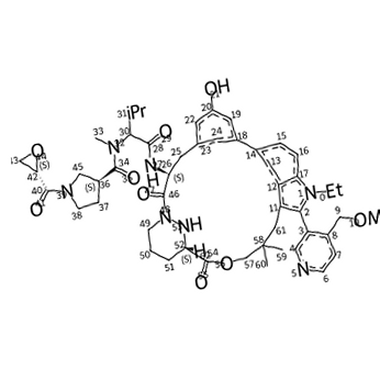 CCn1c(-c2cnccc2COC)c2c3cc(ccc31)-c1cc(O)cc(c1)C[C@H](NC(=O)C(C(C)C)N(C)C(=O)[C@H]1CCN(C(=O)[C@@H]3CO3)C1)C(=O)N1CCC[C@H](N1)C(=O)OCC(C)(C)C2